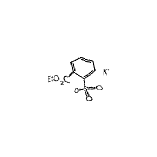 CCOC(=O)c1ccccc1S(=O)(=O)[O-].[K+]